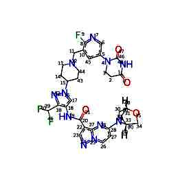 O=C1CCN(c2cnc(F)c(CN3CCC(n4cc(NC(=O)c5cnn6ccc(N7C[C@H]8C[C@@H]7CO8)nc56)c(C(F)F)n4)CC3)c2)C(=O)N1